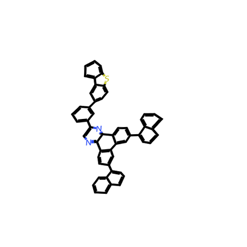 c1cc(-c2ccc3sc4ccccc4c3c2)cc(-c2cnc3c4ccc(-c5cccc6ccccc56)cc4c4cc(-c5cccc6ccccc56)ccc4c3n2)c1